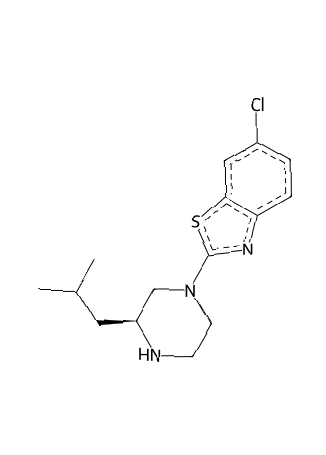 CC(C)C[C@H]1CN(c2nc3ccc(Cl)cc3s2)CCN1